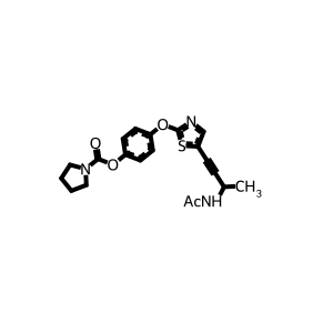 CC(=O)NC(C)C#Cc1cnc(Oc2ccc(OC(=O)N3CCCC3)cc2)s1